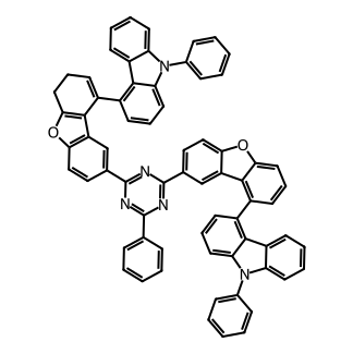 C1=C(c2cccc3c2c2ccccc2n3-c2ccccc2)c2c(oc3ccc(-c4nc(-c5ccccc5)nc(-c5ccc6oc7cccc(-c8cccc9c8c8ccccc8n9-c8ccccc8)c7c6c5)n4)cc23)CC1